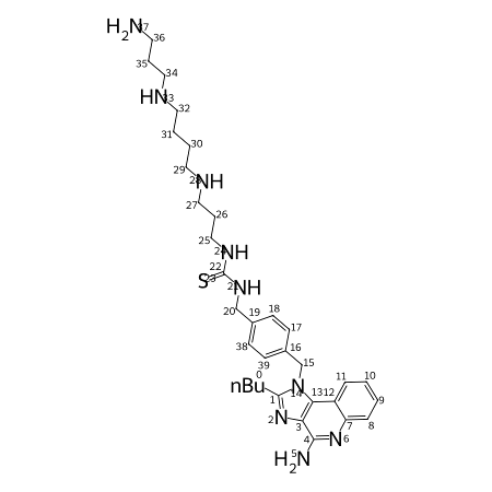 CCCCc1nc2c(N)nc3ccccc3c2n1Cc1ccc(CNC(=S)NCCCNCCCCNCCCN)cc1